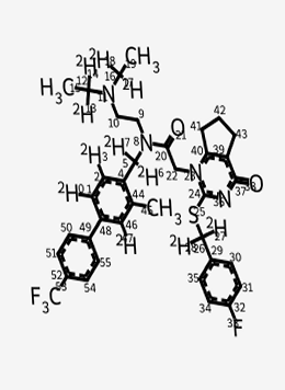 [2H]c1c([2H])c(C([2H])([2H])N(CCN(C([2H])([2H])C)C([2H])([2H])C)C(=O)Cn2c(SC([2H])([2H])c3ccc(F)cc3)nc(=O)c3c2CCC3)c(C)c([2H])c1-c1ccc(C(F)(F)F)cc1